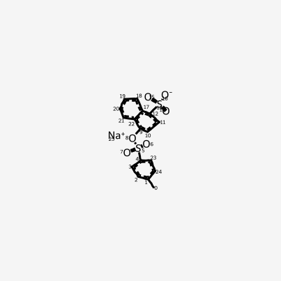 Cc1ccc(S(=O)(=O)Oc2ccc(S(=O)(=O)[O-])c3ccccc23)cc1.[Na+]